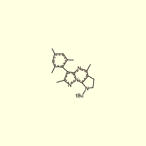 Cc1cc(C)c(-c2c(C)nn3c4c(c(C)nc23)CCN4C(C)(C)C)c(C)c1